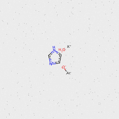 CC(=O)[O-].O.[K+].c1c[nH]cn1